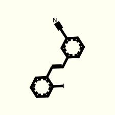 N#Cc1cccc(C=Cc2ccccc2I)c1